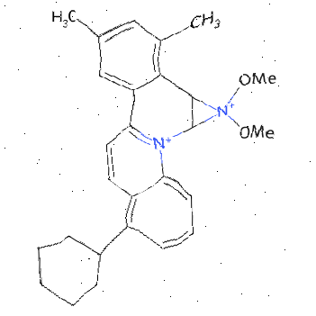 CO[N+]1(OC)C2c3c(C)cc(C)cc3-c3ccc4c(C5CCCCC5)cccc4[n+]3C21